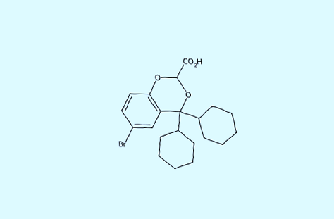 O=C(O)C1Oc2ccc(Br)cc2C(C2CCCCC2)(C2CCCCC2)O1